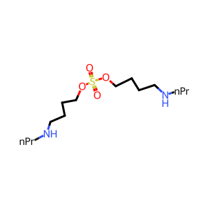 CCCNCCCCOS(=O)(=O)OCCCCNCCC